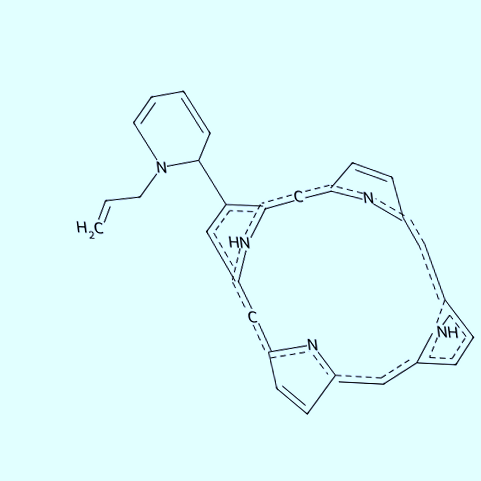 C=CCN1C=CC=CC1c1cc2cc3nc(cc4ccc(cc5nc(cc1[nH]2)C=C5)[nH]4)C=C3